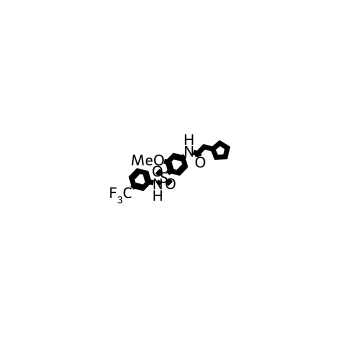 COc1cc(NC(=O)CC2CCCC2)ccc1S(=O)(=O)Nc1cccc(C(F)(F)F)c1